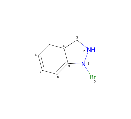 BrN1NCC2CC=CC=C21